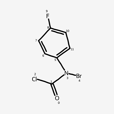 O=C(Cl)N(Br)c1ccc(F)cc1